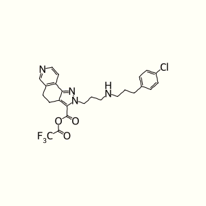 O=C(OC(=O)C(F)(F)F)c1c2c(nn1CCCNCCCc1ccc(Cl)cc1)-c1ccncc1CC2